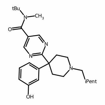 CCCC(C)CN1CCC(c2cccc(O)c2)(c2ncc(C(=O)N(C)C(C)(C)C)cn2)CC1